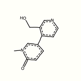 Cn1cc(-c2ccncc2CO)ccc1=O